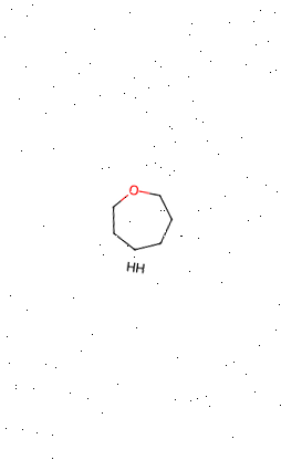 C1CCCOCC1.[HH]